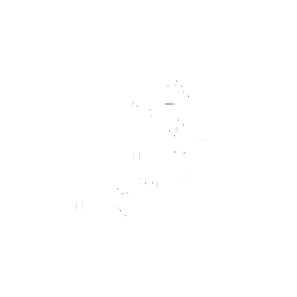 Cc1nsc(/N=N/c2ccc(O)c(/N=N/c3c(C(N)=O)cnn3C)c2O)n1